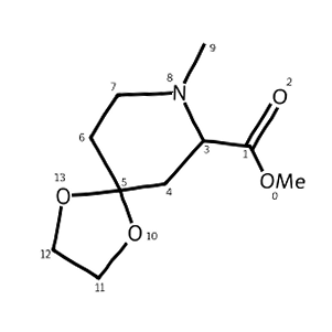 COC(=O)C1CC2(CCN1C)OCCO2